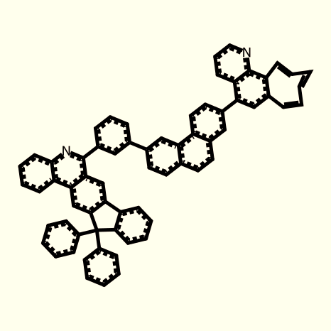 C1=C\c2cc(-c3ccc4c(ccc5ccc(-c6cccc(-c7nc8ccccc8c8cc9c(cc78)-c7ccccc7C9(c7ccccc7)c7ccccc7)c6)cc54)c3)c3cccnc3c2/C=C/C=C/1